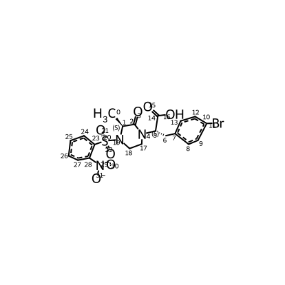 C[C@H]1C(=O)N([C@@H](Cc2ccc(Br)cc2)C(=O)O)CCN1S(=O)(=O)c1ccccc1[N+](=O)[O-]